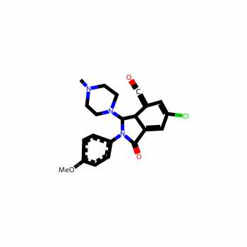 COc1ccc(N2C(=O)C3=CC(Cl)=CC(=C=O)C3C2N2CCN(C)CC2)cc1